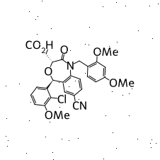 COc1ccc(CN2C(=O)[C@@H](CC(=O)O)O[C@H](c3cccc(OC)c3Cl)c3cc(C#N)ccc32)c(OC)c1